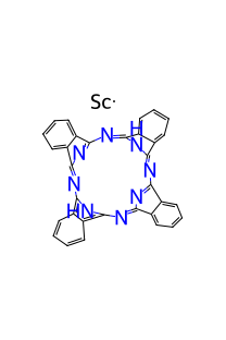 [Sc].c1ccc2c(c1)-c1nc-2nc2[nH]c(nc3nc(nc4[nH]c(n1)c1ccccc41)-c1ccccc1-3)c1ccccc21